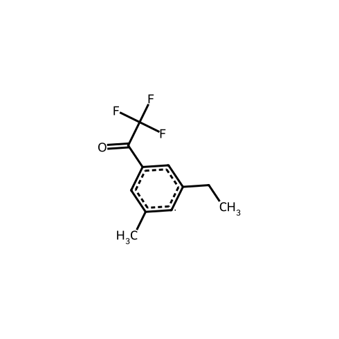 CCc1[c]c(C)cc(C(=O)C(F)(F)F)c1